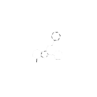 O=C1CCCc2c1sc(N1CCOCC1)c2CCc1ccccc1